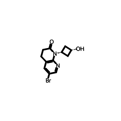 O=C1CCc2cc(Br)cnc2N1[C@H]1C[C@@H](O)C1